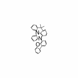 CC1(C)c2ccccc2N2c3ccccc3N(c3cccc4c3oc3ccccc34)c3cccc1c32